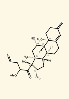 COC(CC=S)C(=O)[C@@]1(O)[C@@H](C)C[C@H]2[C@@H]3CCC4=CC(=O)CC[C@]4(C)[C@@]3(F)[C@@H](O)C[C@@]21C